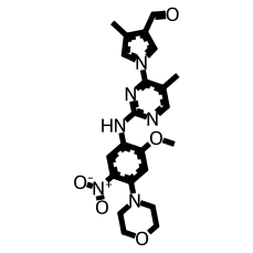 COc1cc(N2CCOCC2)c([N+](=O)[O-])cc1Nc1ncc(C)c(-n2cc(C)c(C=O)c2)n1